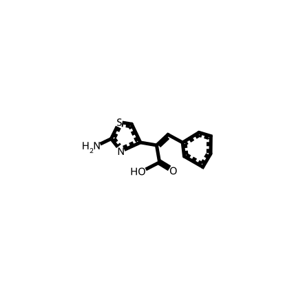 Nc1nc(/C(=C/c2ccccc2)C(=O)O)cs1